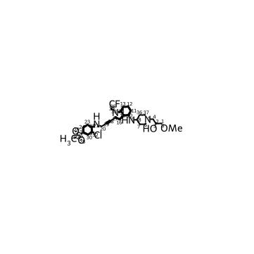 COCC(O)CN1CCC(Nc2cccc3c2cc(C#CCNc2ccc(S(C)(=O)=O)cc2Cl)n3CC(F)(F)F)CC1